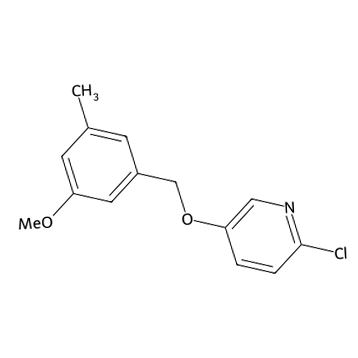 COc1cc(C)cc(COc2ccc(Cl)nc2)c1